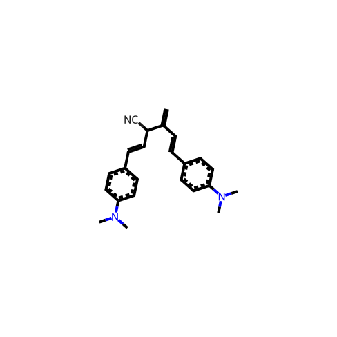 C=C(C=Cc1ccc(N(C)C)cc1)C(C#N)C=Cc1ccc(N(C)C)cc1